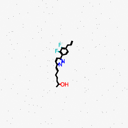 C=CCc1ccc(-c2ccc(/C=C/CCCC(C)O)nn2)c(F)c1F